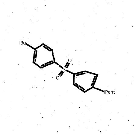 CCCC(C)c1ccc(S(=O)(=O)c2ccc(C(C)CC)cc2)cc1